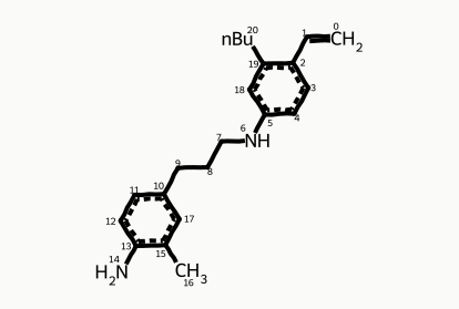 C=Cc1ccc(NCCCc2ccc(N)c(C)c2)cc1CCCC